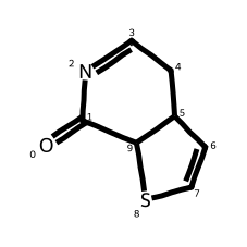 O=C1N=[C]CC2C=CSC12